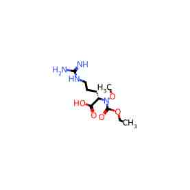 CCOC(=O)N(OC)[C@@H](CCCNC(=N)N)C(=O)O